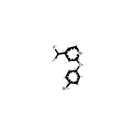 FC(F)c1[c]cnc(Oc2ccc(Br)cc2)c1